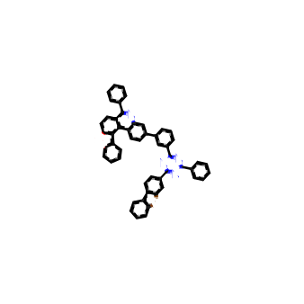 c1ccc(-c2nc(-c3cccc(-c4ccc5c(c4)nc(-c4ccccc4)c4ccc6oc7ccccc7c6c45)c3)nc(-c3ccc4c(c3)sc3ccccc34)n2)cc1